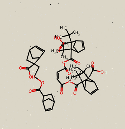 CC(C)(C)C1(C(=O)O)C2C=CC(C2)C1(C(=O)OC(=O)/C=C\C(=O)OC(=O)C1(C(C)(C)C)C2C=CC(C2)C1(C(=O)O)C(C)(C)C)C(C)(C)C.O=C(OCCC1(C(=O)O)CC2C=CC1C2)C1CC2C=CC1C2